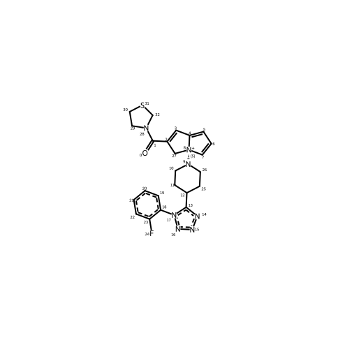 O=C(C1=CC2=CC=C[N@@+]2(N2CCC(c3nnnn3-c3ccccc3F)CC2)C1)N1CCSC1